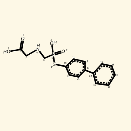 O=C(O)CNCP(=O)(O)Sc1ccc(-c2ccccc2)cc1